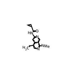 C=Cc1cnc(NC)c2cnc(NC(=O)C3CC3)cc12